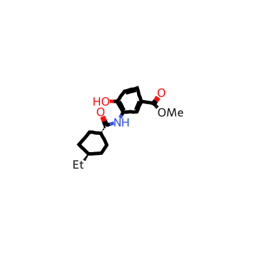 CC[C@H]1CC[C@H](C(=O)Nc2cc(C(=O)OC)ccc2O)CC1